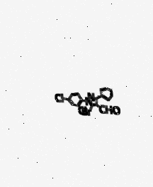 O=Cc1c(-c2ccccc2)nn(-c2ccc(Cl)cc2Cl)c1Br